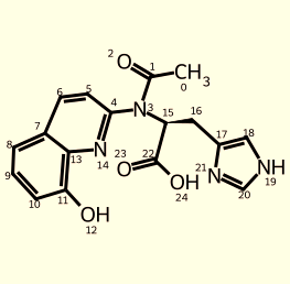 CC(=O)N(c1ccc2cccc(O)c2n1)[C@@H](Cc1c[nH]cn1)C(=O)O